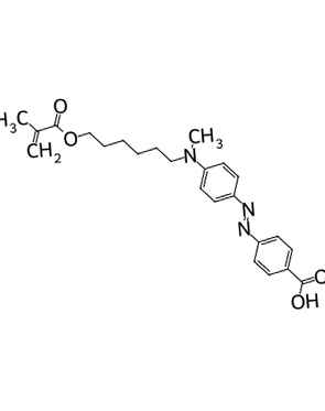 C=C(C)C(=O)OCCCCCCN(C)c1ccc(N=Nc2ccc(C(=O)O)cc2)cc1